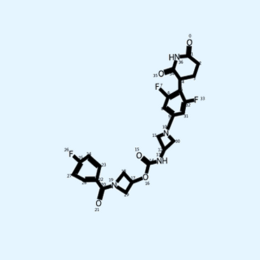 O=C1CCC(c2c(F)cc(N3CC(NC(=O)OC4CN(C(=O)c5ccc(F)cc5)C4)C3)cc2F)C(=O)N1